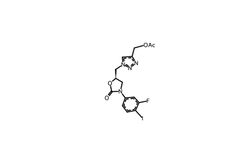 CC(=O)OCc1cn(C[C@H]2CN(c3ccc(I)c(F)c3)C(=O)O2)nn1